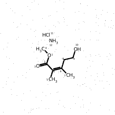 COC(=O)C(C)=C(C)CCO.Cl.N